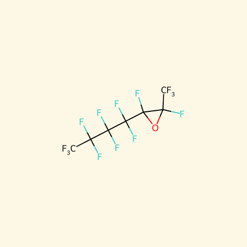 FC(F)(F)C(F)(F)C(F)(F)C(F)(F)C1(F)OC1(F)C(F)(F)F